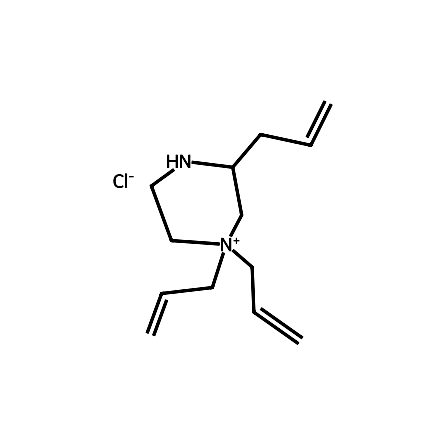 C=CCC1C[N+](CC=C)(CC=C)CCN1.[Cl-]